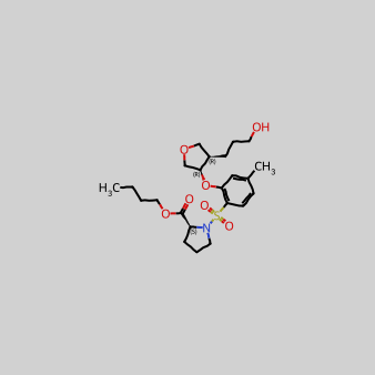 CCCCOC(=O)[C@@H]1CCCN1S(=O)(=O)c1ccc(C)cc1O[C@H]1COC[C@H]1CCCO